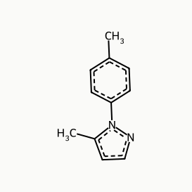 Cc1ccc(-n2nccc2C)cc1